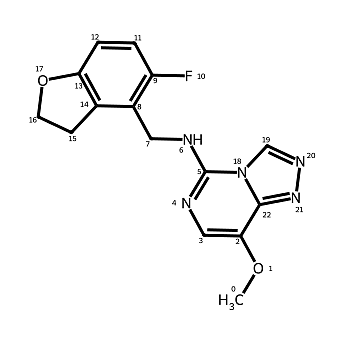 COc1cnc(NCc2c(F)ccc3c2CCO3)n2cnnc12